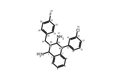 NC1c2ccccc2N(c2cccc(Cl)c2)C(N)N1Cc1ccc(F)cc1